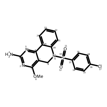 COc1nc(N)nc2c1CN(S(=O)(=O)c1ccc(Cl)cc1)c1ccccc1-2